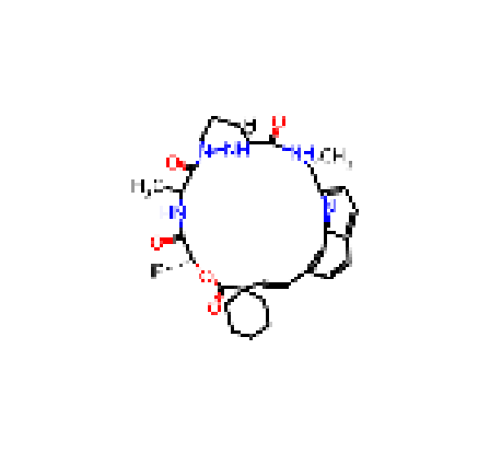 CC(C)[C@H]1OC(=O)C2(/C=C/c3ccc4ccc(nc4c3)[C@@H](C)NC(=O)[C@@H]3CCCN(N3)C(=O)[C@H](C)NC1=O)CCCCC2